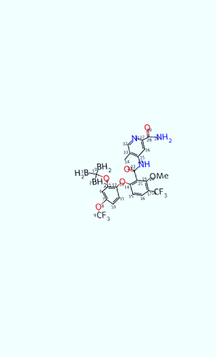 BC(B)(B)Oc1cc(OC(F)(F)F)ccc1Oc1ccc(C(F)(F)F)c(OC)c1C(=O)Nc1cc(C(N)=O)ncc1C